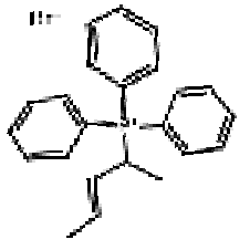 CC=CC(C)[P+](c1ccccc1)(c1ccccc1)c1ccccc1.[Br-]